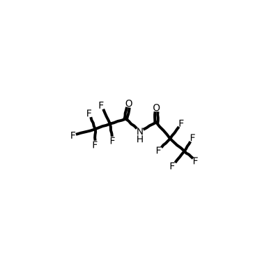 O=C(NC(=O)C(F)(F)C(F)(F)F)C(F)(F)C(F)(F)F